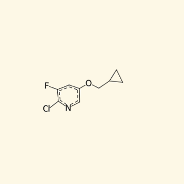 Fc1cc(OCC2CC2)cnc1Cl